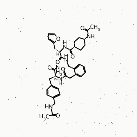 CC(=O)NCc1ccc(C[C@H](NC(=O)Cc2ccccc2CNC(=O)[C@H](Cc2ccco2)NC(=O)[C@H]2CC[C@@H](NC(C)=O)CC2)C(N)=O)cc1